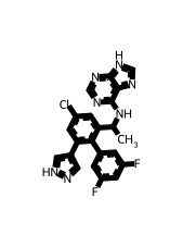 CC(Nc1ncnc2[nH]cnc12)c1cc(Cl)cc(-c2cn[nH]c2)c1-c1cc(F)cc(F)c1